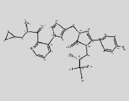 CN(CC1CC1)C(=O)c1ncccc1-n1cnc(Cn2nc(-c3ccc(Cl)cc3)n(C[C@@H](O)C(F)(F)F)c2=O)n1